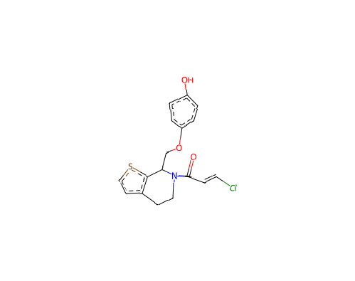 O=C(/C=C/Cl)N1CCc2ccsc2C1COc1ccc(O)cc1